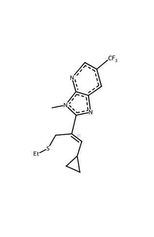 CCSC/C(=C\C1CC1)c1nc2cc(C(F)(F)F)cnc2n1C